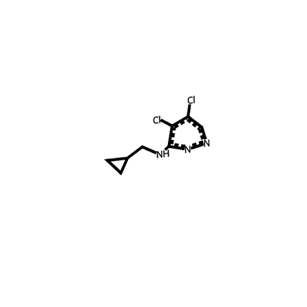 Clc1cnnc(NCC2CC2)c1Cl